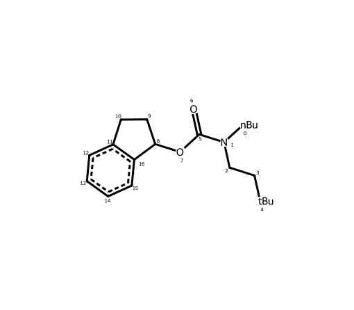 CCCCN(CCC(C)(C)C)C(=O)OC1CCc2ccccc21